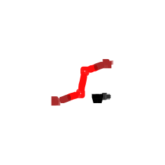 BrOOBr.[W+6]